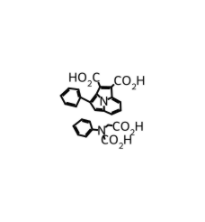 O=C(O)CN(C(=O)O)c1ccccc1.O=C(O)c1c(C(=O)O)c2c(-c3ccccc3)cc3cccc1n32